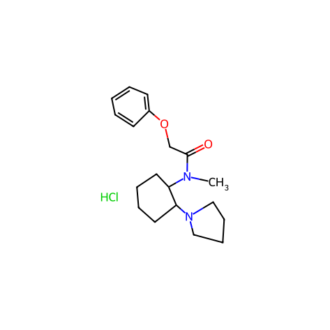 CN(C(=O)COc1ccccc1)C1CCCCC1N1CCCC1.Cl